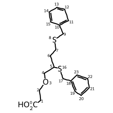 O=C(O)CCOCC(CCSCc1ccccc1)SCc1ccccc1